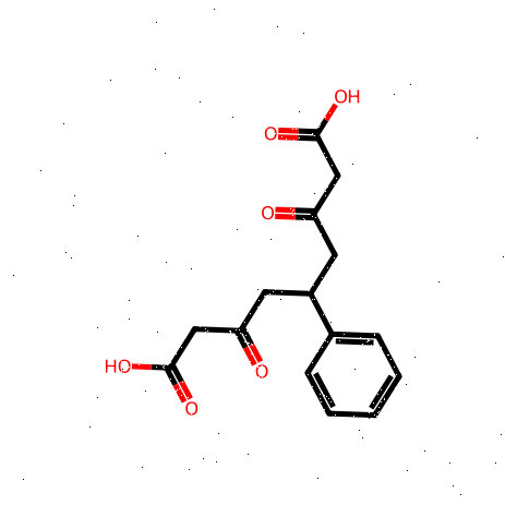 O=C(O)CC(=O)CC(CC(=O)CC(=O)O)c1ccccc1